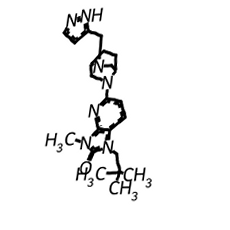 Cn1c(=O)n(CC(C)(C)C)c2ccc(N3CC4CCC3CN4Cc3ccn[nH]3)nc21